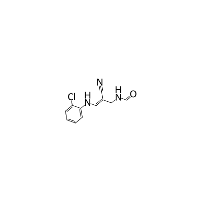 N#CC(=CNc1ccccc1Cl)CNC=O